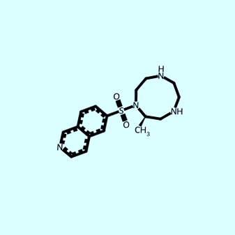 C[C@@H]1CNCCNCCN1S(=O)(=O)c1ccc2cnccc2c1